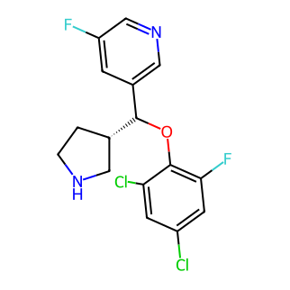 Fc1cncc(C(Oc2c(F)cc(Cl)cc2Cl)[C@H]2CCNC2)c1